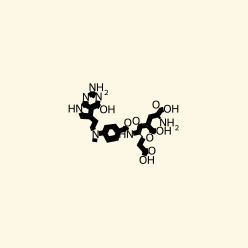 CN(CCc1c[nH]c2nc(N)nc(O)c12)c1ccc(C(=O)N[C@@H](CCC(=O)O)C(=O)C(C[C@H](N)C(=O)O)C(=O)O)cc1